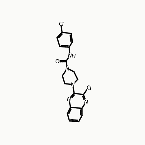 O=C(Nc1ccc(Cl)cc1)N1CCN(c2nc3ccccc3nc2Cl)CC1